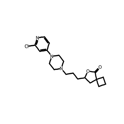 O=C1OC(CCCN2CCN(c3ccnc(Cl)c3)CC2)CC12CCC2